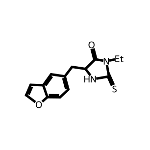 CCN1C(=O)C(Cc2ccc3occc3c2)NC1=S